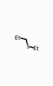 [CH2]CSC[CH]C